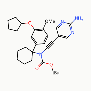 COc1ccc(C2(N(C#Cc3cnc(N)nc3)C(=O)OC(C)(C)C)CCCCC2)cc1OC1CCCC1